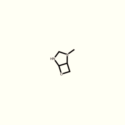 CN1CNC2OCC21